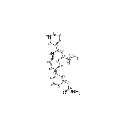 CNc1nc(-c2cccnc2)nc2ccc(-c3cccc(CC(N)=O)c3)cc12